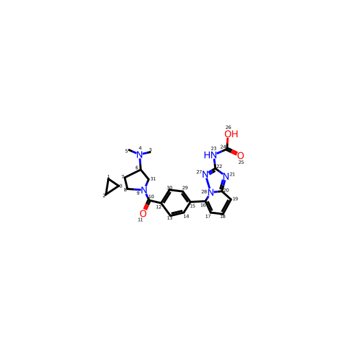 C1CC1.CN(C)C1CCN(C(=O)c2ccc(-c3cccc4nc(NC(=O)O)nn34)cc2)C1